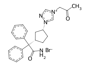 CC(=O)C[n+]1cnn([C@@H]2CC[C@H](C(C(N)=O)(c3ccccc3)c3ccccc3)C2)c1.[Br-]